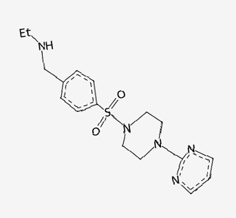 CCNCc1ccc(S(=O)(=O)N2CCN(c3ncccn3)CC2)cc1